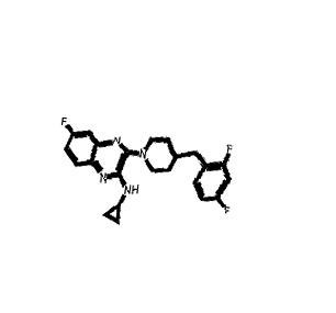 Fc1ccc(CC2CCN(c3nc4cc(F)ccc4nc3NC3CC3)CC2)c(F)c1